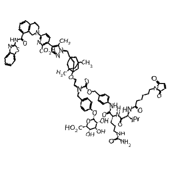 Cc1c(-c2ccc(N3CCc4cccc(C(=O)Nc5nc6ccccc6s5)c4C3)nc2C(=O)O)cnn1CC12CC3(C)CC(C)(C1)C(OCCN(Cc1ccc(O[C@H]4O[C@H](C(=O)O)[C@@H](O)[C@H](O)[C@H]4O)cc1)C(=O)OCc1ccc(NC(=O)[C@H](CCCNC(N)=O)NC(=O)[C@@H](NC(=O)CCCCCN4C(=O)C=CC4=O)C(C)C)cc1)(C3)C2